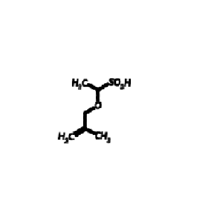 C=C(C)COC(C)S(=O)(=O)O